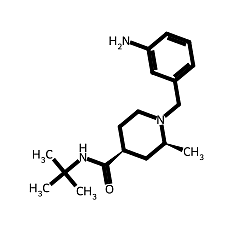 C[C@H]1C[C@@H](C(=O)NC(C)(C)C)CCN1Cc1cccc(N)c1